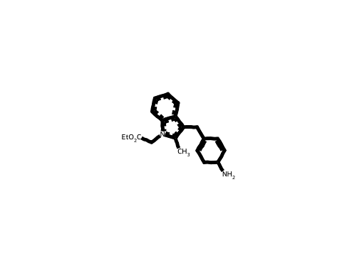 CCOC(=O)Cn1c(C)c(CC2=CCC(N)C=C2)c2ccccc21